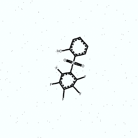 O=S(=O)(c1ccccc1O)c1c(F)c(F)c(F)c(F)c1F